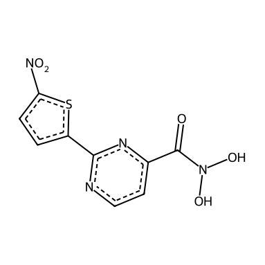 O=C(c1ccnc(-c2ccc([N+](=O)[O-])s2)n1)N(O)O